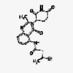 C=C(CC)CC(=O)Nc1cccc2nc(C)n(C3CCC(=O)NC3=O)c(=O)c12